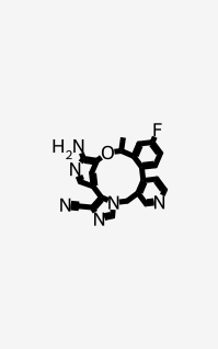 CC1Oc2cc(cnc2N)-c2c(C#N)ncn2Cc2cnccc2-c2ccc(F)cc21